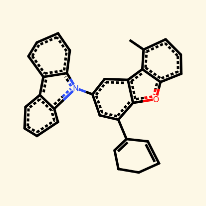 Cc1cccc2oc3c(C4=CCCC=C4)cc(-n4c5ccccc5c5ccccc54)cc3c12